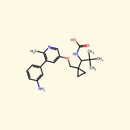 Cc1ncc(OCC2(C(NC(=O)O)C(C)(C)C)CC2)cc1-c1cccc(N)c1